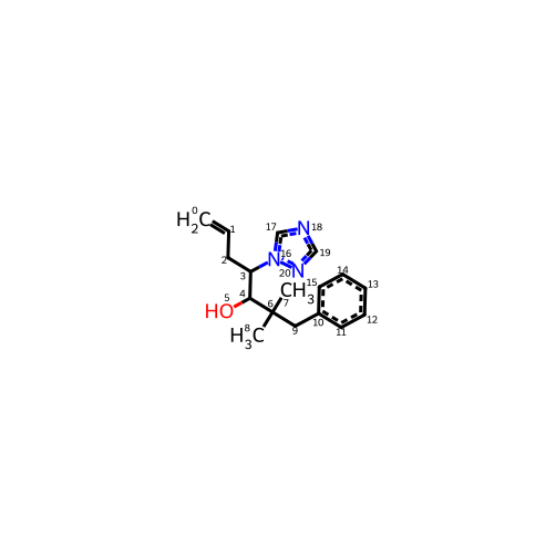 C=CCC(C(O)C(C)(C)Cc1ccccc1)n1cncn1